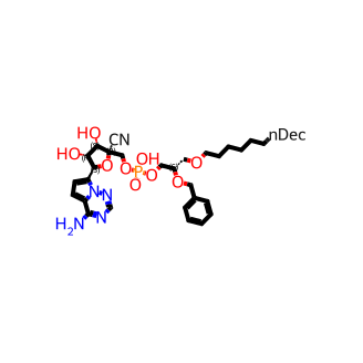 CCCCCCCCCCCCCCCCOC[C@@H](COP(=O)(O)OC[C@@]1(C#N)O[C@@H](c2ccc3c(N)ncnn23)[C@H](O)[C@@H]1O)OCc1ccccc1